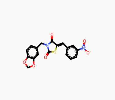 O=C1SC(=Cc2cccc([N+](=O)[O-])c2)C(=O)N1Cc1ccc2c(c1)OCO2